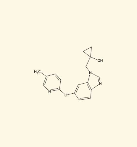 Cc1ccc(Oc2ccc3ncn(CC4(O)CC4)c3c2)nc1